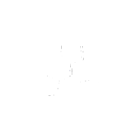 C=C/C(=C(\CC)C1C=CCO1)[N+](=O)[O-]